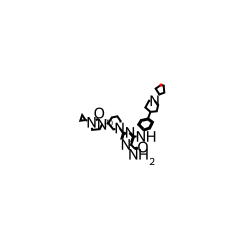 NC(=O)c1ncc(N2CCC[C@@H](N3CCN(C4CC4)C3=O)C2)nc1Nc1ccc(C2CCN(C3CCCC3)CC2)cc1